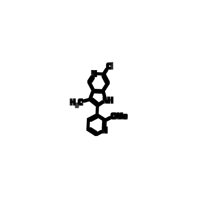 COc1ncccc1-c1[nH]c2cc(Cl)ncc2c1C